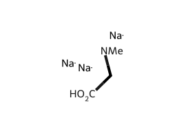 CNCC(=O)O.[Na].[Na].[Na]